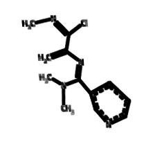 C=C(/N=C(/c1cccnc1)N(C)C)/C(Cl)=N\C